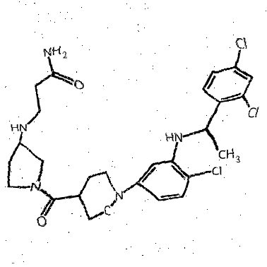 CC(Nc1cc(N2CCC(C(=O)N3CCC(NCCC(N)=O)C3)CC2)ccc1Cl)c1ccc(Cl)cc1Cl